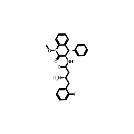 CON1C(=O)[C@H](NC(=O)C[C@H](N)Cc2ccccc2F)[C@@H](c2ccccc2)c2ccccc21